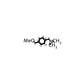 COCc1ccc(CN(C)C)cc1